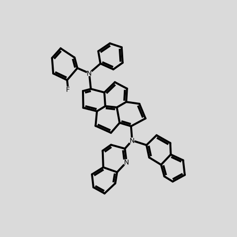 Fc1ccccc1N(c1ccccc1)c1ccc2ccc3c(N(c4ccc5ccccc5c4)c4ccc5ccccc5n4)ccc4ccc1c2c43